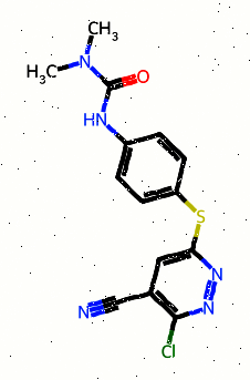 CN(C)C(=O)Nc1ccc(Sc2cc(C#N)c(Cl)nn2)cc1